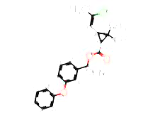 C/C(Cl)=C/[C@@H]1[C@H](C(=O)O[C@H](C#N)c2cccc(Oc3ccccc3)c2)C1(C)C